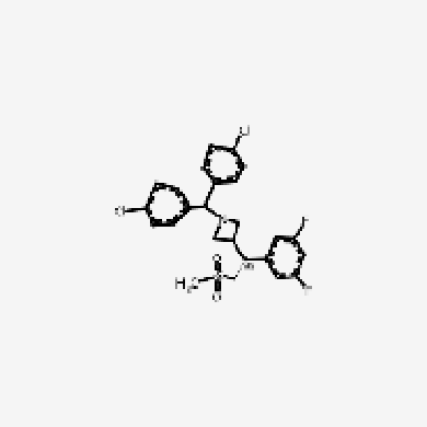 CS(=O)(=O)C[C@@H](c1cc(F)cc(F)c1)C1CN(C(c2ccc(Cl)cc2)c2ccc(Cl)cc2)C1